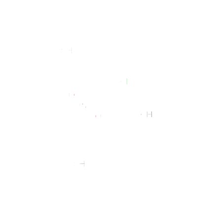 CCCC[Si](CCCl)(OCCC)OCCC